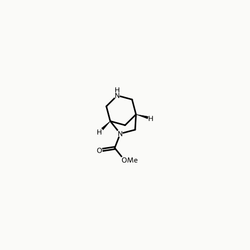 COC(=O)N1C[C@H]2CNC[C@@H]1C2